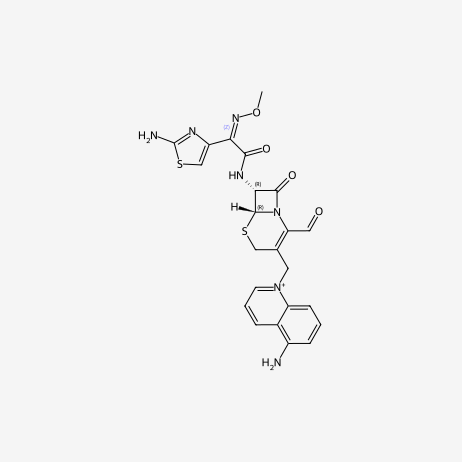 CO/N=C(\C(=O)N[C@@H]1C(=O)N2C(C=O)=C(C[n+]3cccc4c(N)cccc43)CS[C@H]12)c1csc(N)n1